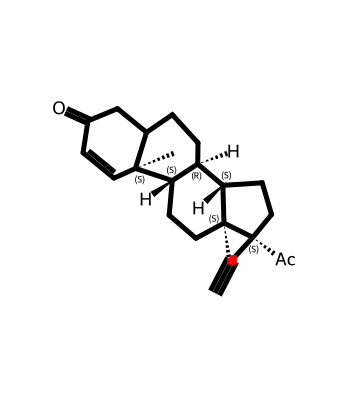 C#C[C@]1(C(C)=O)CC[C@H]2[C@@H]3CCC4CC(=O)C=C[C@]4(C)[C@H]3CC[C@@]21C